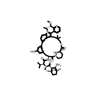 CCn1c(-c2cccnc2[C@H](C)OC)c2c3cc(ccc31)-c1cc(O)cc(c1)C[C@H](NC(=O)[C@H](C(C)C)N(C)C(=O)[C@H]1[C@@H](N)[C@@H]3CC[C@H]1O3)C(=O)N1CCC[C@@](O)(N1)C(=O)OCC(C)(C)C2